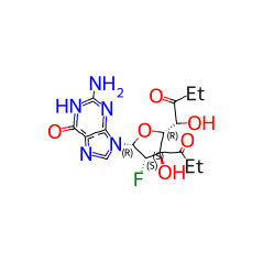 CCC(=O)C(O)[C@H]1O[C@@H](n2cnc3c(=O)[nH]c(N)nc32)[C@@H](F)[C@@]1(O)C(=O)CC